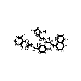 Cc1ncnc(C)c1OC(=O)NCc1ccc(CN(CCNCc2ncc[nH]2)C2CCCc3cccnc32)cc1